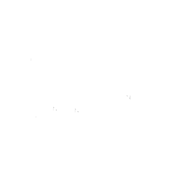 CC(C)(C)OC1CCC(C(=O)N2CCN(c3ccc4c(c3)CCN(C3CCCC3)CC4)CC2)CC1